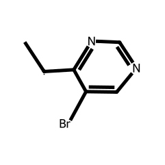 C[CH]c1ncncc1Br